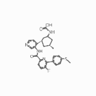 CSc1ccc(-c2nc(C(=O)Nc3cnccc3[C@H]3CC(NC(=O)O)C[C@@H](C)C3)ccc2F)cc1